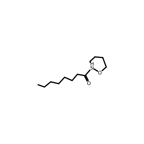 CCCCCCCC(=O)[SiH]1CCCCO1